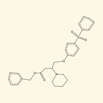 O=C(CC(COc1ccc(S(=O)(=O)c2ccccc2)cc1)N1CCCCC1)OCc1ccccc1